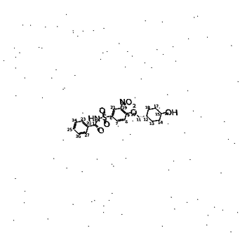 O=C(NS(=O)(=O)c1ccc(OC[C@H]2CC[C@H](O)CC2)c([N+](=O)[O-])c1)c1ccccc1